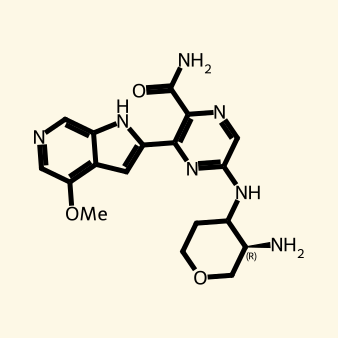 COc1cncc2[nH]c(-c3nc(NC4CCOC[C@@H]4N)cnc3C(N)=O)cc12